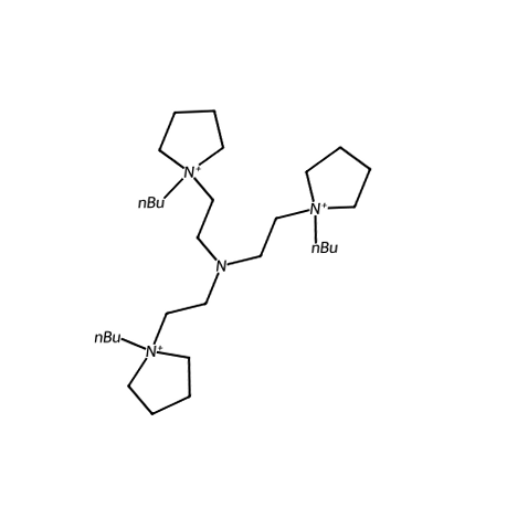 CCCC[N+]1(CCN(CC[N+]2(CCCC)CCCC2)CC[N+]2(CCCC)CCCC2)CCCC1